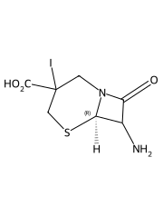 NC1C(=O)N2CC(I)(C(=O)O)CS[C@H]12